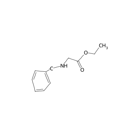 CCOC(=O)CN[CH]c1ccccc1